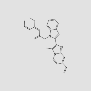 C=Cc1ccn2c(C)c(-c3cc4ccccc4n3CC(=C)/C=C(\C=C/C)CC)nc2c1